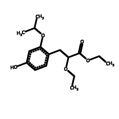 CCOC(=O)C(Cc1ccc(O)cc1OC(C)C)OCC